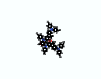 Cc1ccc(N(c2ccc(C)cc2)c2ccc3c(c2)C(C)(C)c2c-3cc3c4c2Oc2c5c(cc6c2[Si]4(c2ccccc2)c2c(cc(C)cc2N6c2ccc(C)cc2)N3c2ccc(C)cc2)-c2ccc(N(c3ccc(C)cc3)c3ccc(C)cc3)cc2C5(C)C)cc1